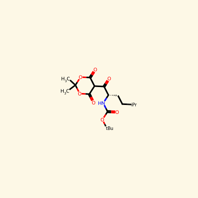 CC(C)CC[C@H](NC(=O)OC(C)(C)C)C(=O)C1C(=O)OC(C)(C)OC1=O